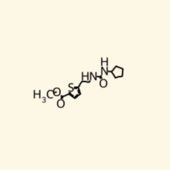 COC(=O)c1ccc(CCNC(=O)NC2CCCC2)s1